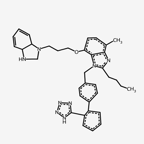 CCCCc1nc2c(C)ccc(OCCCN3CNC4C=CC=CC43)c2n1Cc1ccc(-c2ccccc2-c2nnn[nH]2)cc1